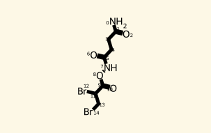 NC(=O)CCC(=O)NOC(=O)C(Br)CBr